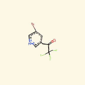 O=C(c1cncc(Br)c1)C(F)(F)F